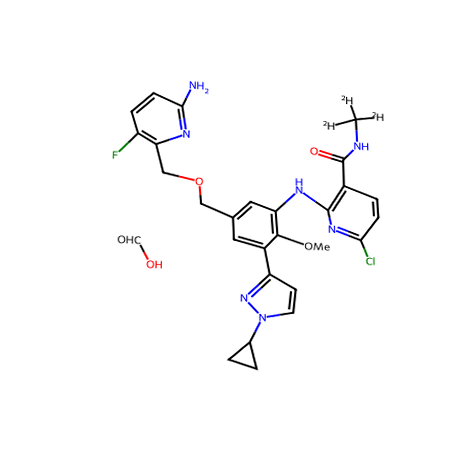 O=CO.[2H]C([2H])([2H])NC(=O)c1ccc(Cl)nc1Nc1cc(COCc2nc(N)ccc2F)cc(-c2ccn(C3CC3)n2)c1OC